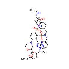 COc1ccc(CN(Cc2ccc(OC)cc2)S(=O)(=O)c2c(S(=O)(=O)NC[C@H](O)CNC(=O)O)ccc(N3CCOC(CO)C3)c2-c2nnn(Cc3ccc(OC)cc3)n2)cc1